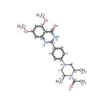 COc1cc(OC)c2c(=O)[nH]c(-c3ccc(N4CC(C)N(C(C)=O)C(C)C4)cc3)nc2c1